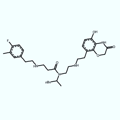 CCCCC(C)N(CCNCCc1ccc(O)c2c1OCC(=O)N2)C(=O)CCNCCc1ccc(F)c(C)c1